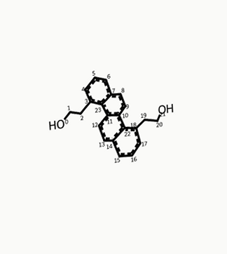 OCCc1cccc2ccc3c(ccc4cccc(CCO)c43)c12